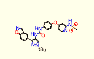 CC(C)(C)n1cc(NC(=O)Nc2ccc(Oc3ccnc(NS(C)(=O)=O)c3)cc2)c(-c2ccc3oncc3c2)n1